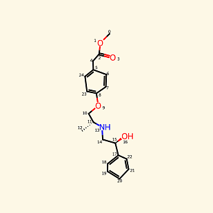 COC(=O)Cc1ccc(OC[C@@H](C)NC[C@@H](O)c2ccccc2)cc1